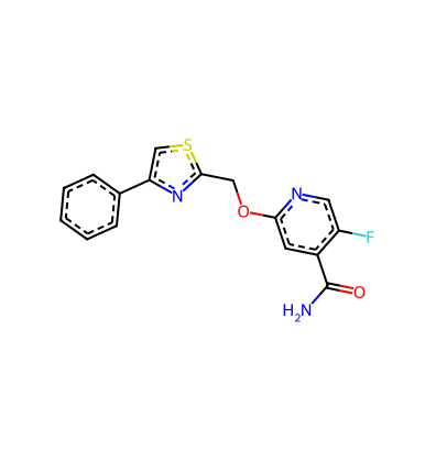 NC(=O)c1cc(OCc2nc(-c3ccccc3)cs2)ncc1F